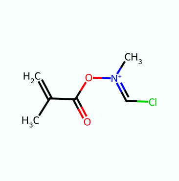 C=C(C)C(=O)O[N+](C)=CCl